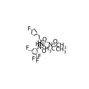 CC(C)(C)C(=O)N1CCC(NC(=O)/C=C/c2ccc(F)cc2)(C(=O)Nc2cc(CF)cc(C(F)(F)F)c2)CC1